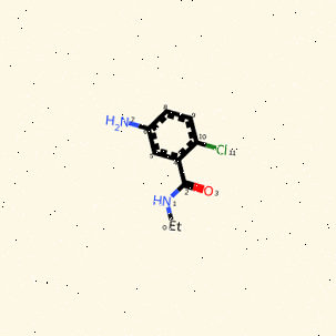 CCNC(=O)c1cc(N)ccc1Cl